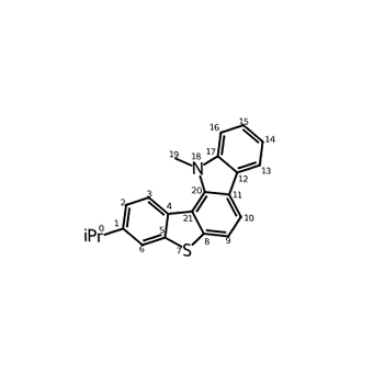 CC(C)c1ccc2c(c1)sc1ccc3c4ccccc4n(C)c3c12